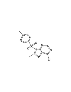 Cc1ccc(S(=O)(=O)n2c(C)cc3c(Cl)ncnc32)cc1